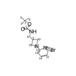 CC(C)(C)OC(=O)NCC1CN(c2cccc(Br)n2)C1